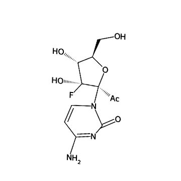 CC(=O)[C@@]1(n2ccc(N)nc2=O)O[C@H](CO)[C@@H](O)[C@]1(O)F